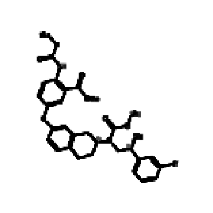 COC(=O)c1cc(Oc2ccc3c(c2)C[C@@H](N(C[C@@H](O)c2cccc(Cl)c2)C(=O)OC(C)(C)C)CC3)ccc1NC(=O)OC(C)(C)C